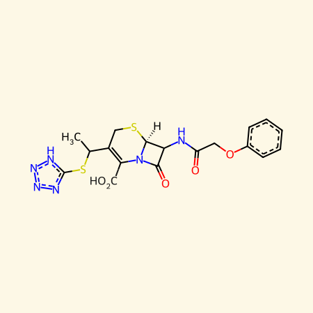 CC(Sc1nnn[nH]1)C1=C(C(=O)O)N2C(=O)C(NC(=O)COc3ccccc3)[C@@H]2SC1